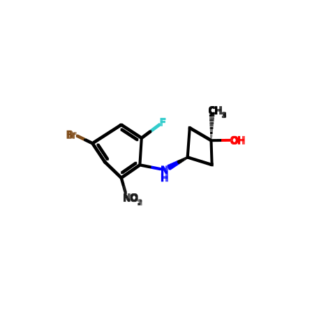 C[C@]1(O)C[C@@H](Nc2c(F)cc(Br)cc2[N+](=O)[O-])C1